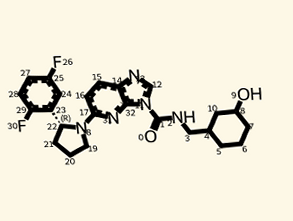 O=C(NCC1CCCC(O)C1)n1cnc2ccc(N3CCC[C@@H]3c3cc(F)ccc3F)nc21